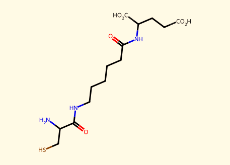 NC(CS)C(=O)NCCCCCC(=O)NC(CCC(=O)O)C(=O)O